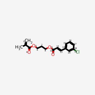 C=C(C)C(=O)OCCCOC(=O)/C=C/c1cccc(Cl)c1